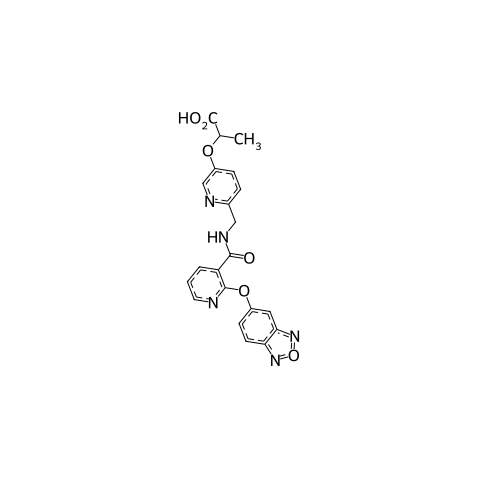 CC(Oc1ccc(CNC(=O)c2cccnc2Oc2ccc3nonc3c2)nc1)C(=O)O